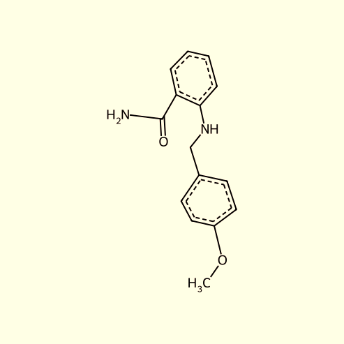 COc1ccc(CNc2ccccc2C(N)=O)cc1